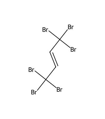 BrC(Br)(Br)C=CC(Br)(Br)Br